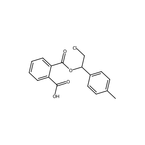 Cc1ccc(C(CCl)OC(=O)c2ccccc2C(=O)O)cc1